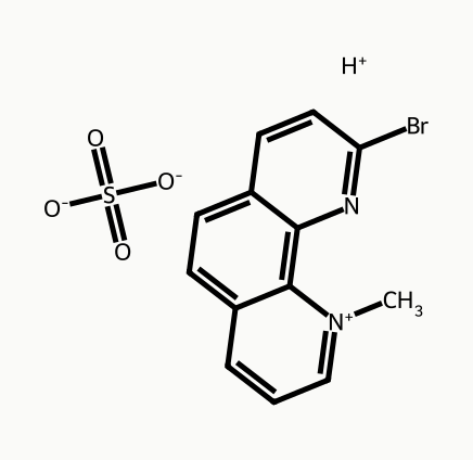 C[n+]1cccc2ccc3ccc(Br)nc3c21.O=S(=O)([O-])[O-].[H+]